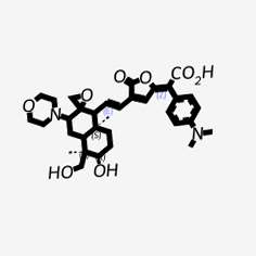 CN(C)c1ccc(/C(C(=O)O)=C2C=C(/C=C/C3C4(CO4)C(N4CCOCC4)CC4[C@]3(C)CC[C@@H](O)[C@@]4(C)CO)C(=O)O\2)cc1